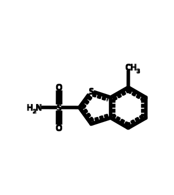 Cc1cccc2cc(S(N)(=O)=O)sc12